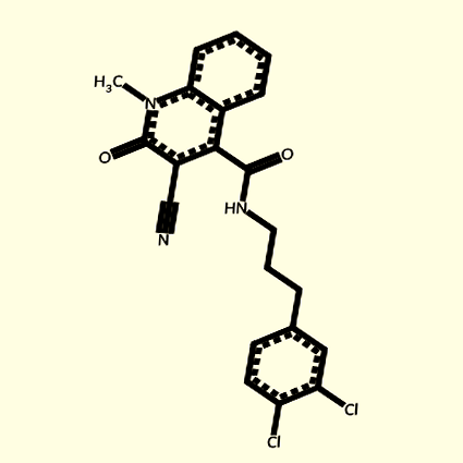 Cn1c(=O)c(C#N)c(C(=O)NCCCc2ccc(Cl)c(Cl)c2)c2ccccc21